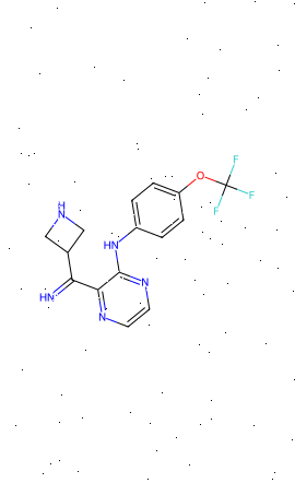 N=C(c1nccnc1Nc1ccc(OC(F)(F)F)cc1)C1CNC1